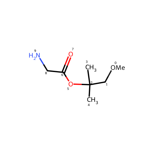 COCC(C)(C)OC(=O)CN